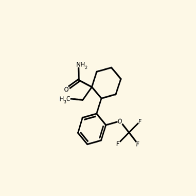 CCC1(C(N)=O)CCCCC1c1ccccc1OC(F)(F)F